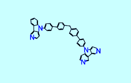 c1ccc2c(c1)c1cnccc1n2-c1ccc(-c2ccc(Cc3ccc(-c4ccc(-n5c6ccncc6c6cnccc65)cc4)cc3)cc2)cc1